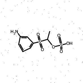 CC(OS(=O)(=O)O)S(=O)(=O)c1cccc(N)c1